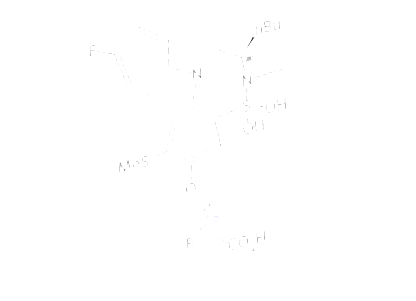 CCCC[C@@H]1CN(c2ccc(F)cc2)c2cc(SC)c(O/C=C(\F)C(=O)O)cc2S(O)(O)N1C